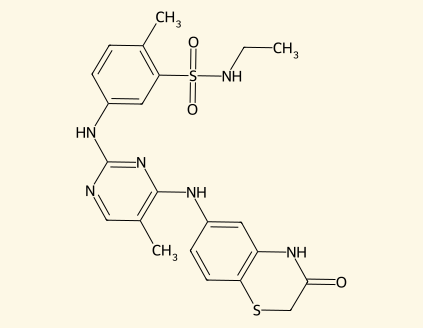 CCNS(=O)(=O)c1cc(Nc2ncc(C)c(Nc3ccc4c(c3)NC(=O)CS4)n2)ccc1C